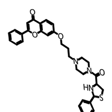 O=C(C1CSC(c2cccnc2)N1)N1CCN(CCCOc2ccc3c(=O)cc(-c4ccccc4)oc3c2)CC1